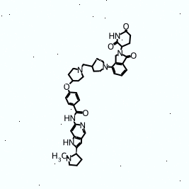 CN1CCC[C@@H]1c1cc2cnc(NC(=O)c3ccc(OC4CCN(CC5CCN(c6cccc7c6CN(C6CCC(=O)NC6=O)C7=O)CC5)CC4)cc3)cc2[nH]1